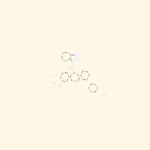 CSc1ccc(-c2ccc(CC(Cc3ccc(C(F)(F)P(=O)(OC(C)(C)C)OC(C)(C)C)cc3)(c3ccccc3)n3nnc4ccccc43)cc2)cc1